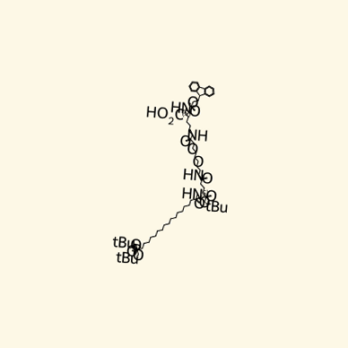 CC(C)(C)OC(=O)[C@H](CCC(=O)NCCOCCOCC(=O)NCCCC[C@H](NC(=O)OCC1c2ccccc2-c2ccccc21)C(=O)O)NC(=O)CCCCCCCCCCCCCCCCP(=O)(OC(C)(C)C)OC(C)(C)C